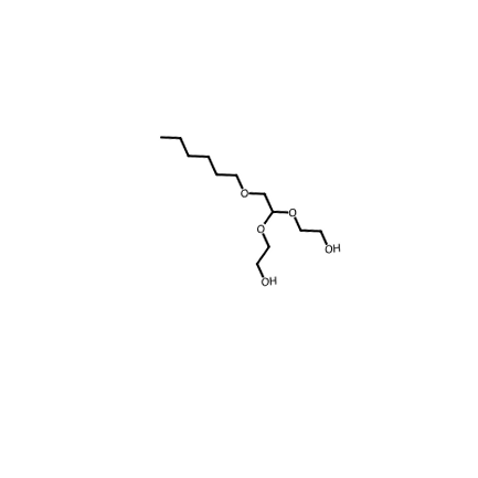 CCCCCCOCC(OCCO)OCCO